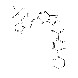 O=C(Nc1n[nH]c2ccc(C(=O)NC(c3cccs3)C(F)(F)F)cc12)c1ccc(N2CCOCC2)cc1